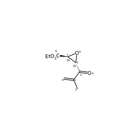 C=C(C)C(=O)[C@H]1O[C@@H]1C(=O)OCC